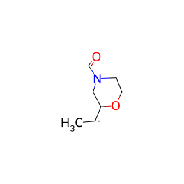 C[CH]C1CN(C=O)CCO1